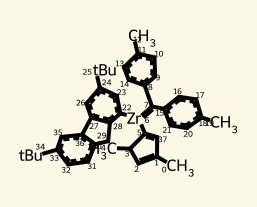 CC1=CC(C)[C]([Zr](=[C](c2ccc(C)cc2)c2ccc(C)cc2)[c]2cc(C(C)(C)C)cc3c2Cc2ccc(C(C)(C)C)cc2-3)=C1